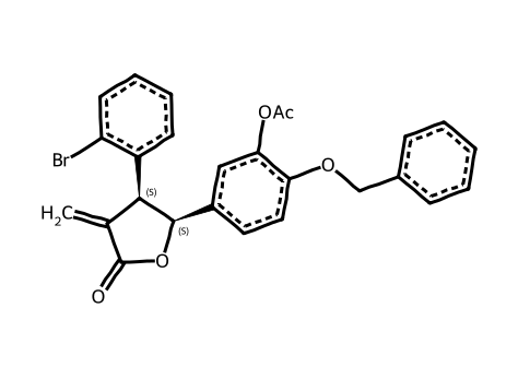 C=C1C(=O)O[C@H](c2ccc(OCc3ccccc3)c(OC(C)=O)c2)[C@@H]1c1ccccc1Br